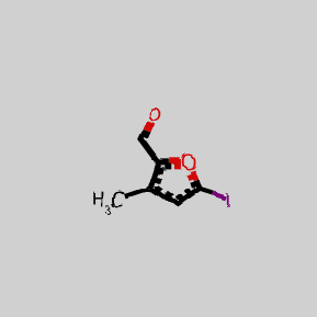 Cc1cc(I)oc1C=O